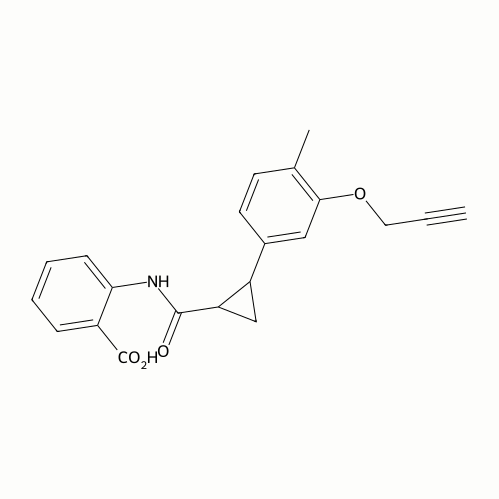 C#CCOc1cc(C2CC2C(=O)Nc2ccccc2C(=O)O)ccc1C